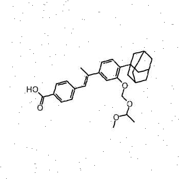 COC(C)OCOc1cc(C(C)=Cc2ccc(C(=O)O)cc2)ccc1C12CC3CC(CC(C3)C1)C2